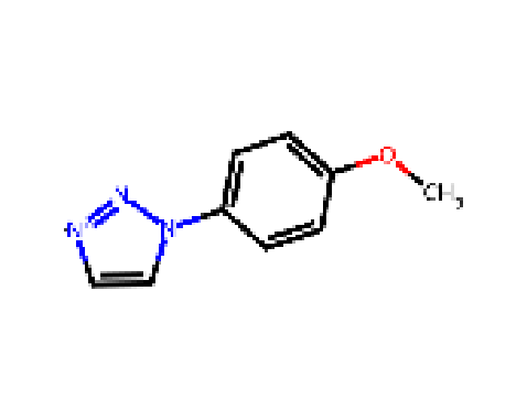 COc1ccc(N2C=C[N+]=N2)cc1